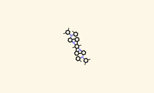 Cc1cc(C)cc(N(c2ccccc2C)c2cccc3c2c2cccc4c5c(C)c6c(c(C)c5n3c24)c2cccc3c4c(N(c5cc(C)cc(C)c5)c5ccccc5C)cccc4n6c32)c1